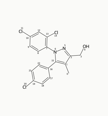 Cc1c(CO)nn(-c2ccc(Cl)cc2Cl)c1-c1ccc(Cl)cc1